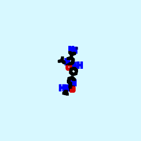 CC(C)Cn1cc(-c2cnn(C)c2)cc(N[C@H]2CC[C@@H](c3ccc(C(=O)NC4CC4)nc3)CC2)c1=O